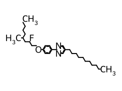 CCCCCCCCCCCc1cnc(-c2ccc(OCCC(F)CC(C)CCCCC)cc2)nc1